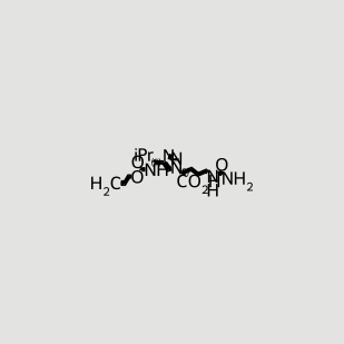 C=CCOC(=O)N[C@H](c1cn([C@@H](CCCNC(N)=O)C(=O)O)nn1)C(C)C